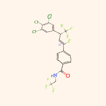 O=C(NCC(F)(F)F)c1ccc(/C(F)=C/C(c2cc(Cl)c(Cl)c(Cl)c2)C(F)(F)F)cc1